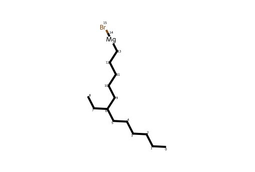 CCCCCCC(CC)CCCC[CH2][Mg][Br]